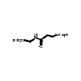 CCCCCCCCCC(=O)NCCCCCCCC